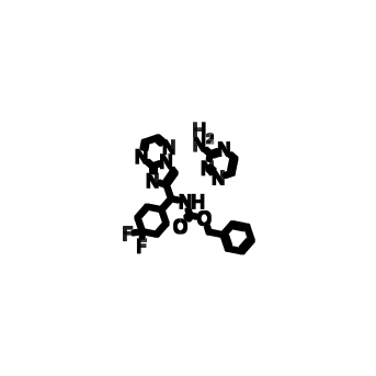 Nc1nccnn1.O=C(NC(c1cn2nccnc2n1)C1CCC(F)(F)CC1)OCc1ccccc1